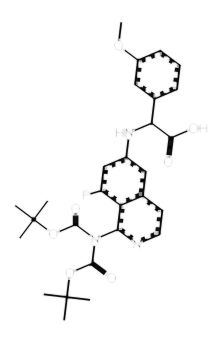 COc1cccc(C(Nc2cc(F)c3c(N(C(=O)OC(C)(C)C)C(=O)OC(C)(C)C)nccc3c2)C(=O)O)c1